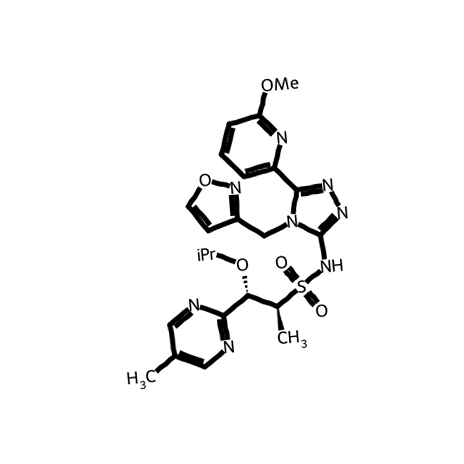 COc1cccc(-c2nnc(NS(=O)(=O)[C@@H](C)[C@@H](OC(C)C)c3ncc(C)cn3)n2Cc2ccon2)n1